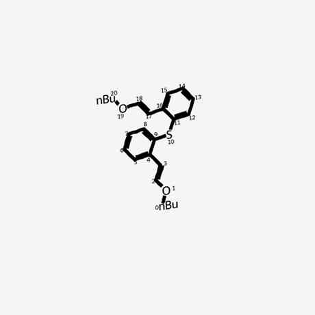 CCCCOC=Cc1ccccc1Sc1ccccc1C=COCCCC